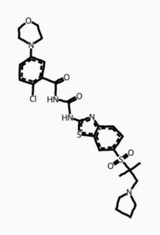 CC(C)(CN1CCCC1)S(=O)(=O)c1ccc2nc(NC(=O)NC(=O)c3cc(N4CCOCC4)ccc3Cl)sc2c1